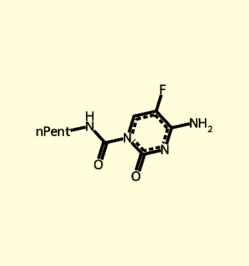 CCCCCNC(=O)n1cc(F)c(N)nc1=O